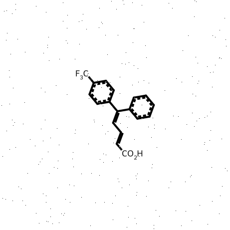 O=C(O)/C=C/C=C(\c1ccccc1)c1ccc(C(F)(F)F)cc1